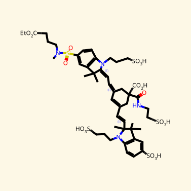 CCOC(=O)CCCN(C)S(=O)(=O)c1ccc2c(c1)C(C)(C)/C(=C\C=C1C=C(/C=C/C3(C)N(CCCS(=O)(=O)O)c4ccc(S(=O)(=O)O)cc4C3(C)C)CC(C(=O)O)(C(=O)NCCS(=O)(=O)O)C\1)N2CCCS(=O)(=O)O